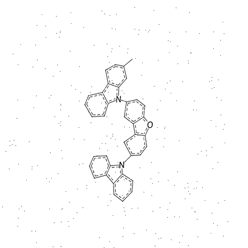 Cc1ccc2c3ccccc3n(-c3ccc4oc5ccc(-n6c7ccccc7c7ccccc76)cc5c4c3)c2c1